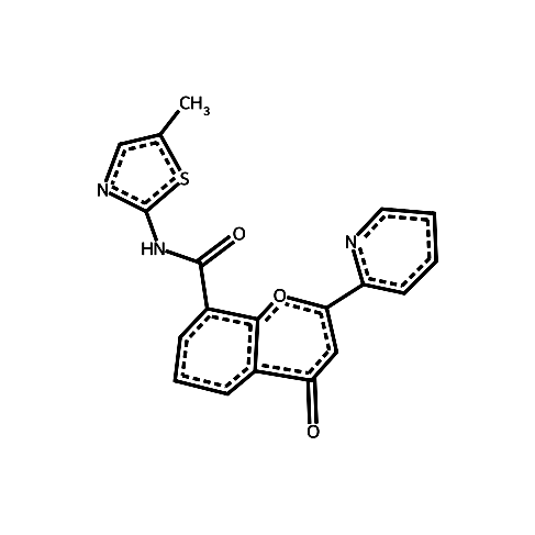 Cc1cnc(NC(=O)c2cccc3c(=O)cc(-c4ccccn4)oc23)s1